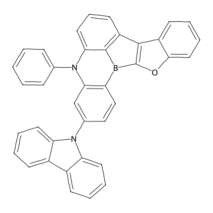 c1ccc(N2c3cc(-n4c5ccccc5c5ccccc54)ccc3B3c4oc5ccccc5c4-c4cccc2c43)cc1